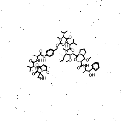 CC[C@H](C)[C@@H]([C@@H](CC(=O)N1CCC[C@H]1[C@H](OC)[C@@H](C)C(=O)N[C@H](C)[C@@H](O)c1ccccc1)OC)N(C)C(=O)[C@@H](NC(=O)[C@H](C(C)C)N(C)C(=O)OCc1ccc(NC(=O)[C@H](C)NC(=O)[C@@H](NC(=O)C2(N3C(=O)C=CC3=O)CNC2)C(C)C)cc1)C(C)C